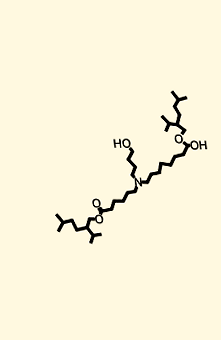 CC(C)CCC(COC(=O)CCCCCN(CCCCO)CCCCCCCC(O)OCC(CCC(C)C)C(C)C)C(C)C